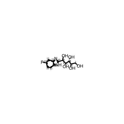 OCC(O)[C@@H](O)[C@H](O)C(O)c1nc2cc(F)ccc2[nH]1